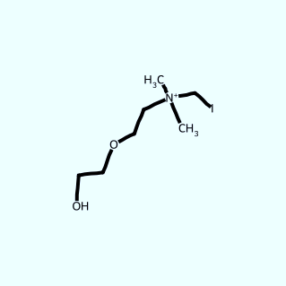 C[N+](C)(CI)CCOCCO